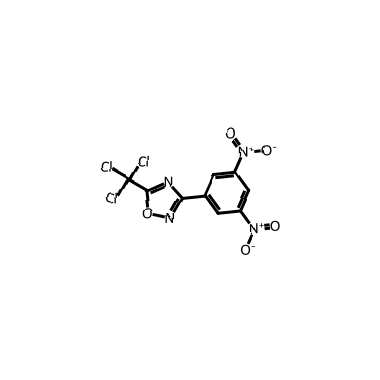 O=[N+]([O-])c1cc(-c2noc(C(Cl)(Cl)Cl)n2)cc([N+](=O)[O-])c1